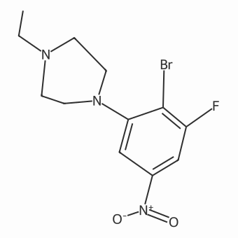 CCN1CCN(c2cc([N+](=O)[O-])cc(F)c2Br)CC1